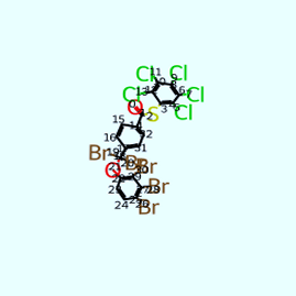 O=C(Sc1c(Cl)c(Cl)c(Cl)c(Cl)c1Cl)c1ccc(C(Br)(Br)Oc2ccc(Br)c(Br)c2Br)cc1